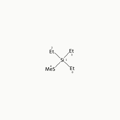 CC[Si](CC)(CC)SC